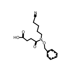 N#CCCCCN(OCc1ccccc1)C(=O)CCC(=O)O